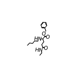 CCCCCNC(CCC(=O)NCC)C(=O)OCc1ccccc1